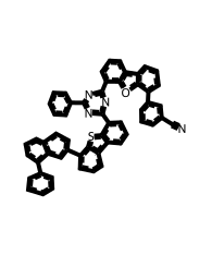 N#Cc1cccc(-c2cccc3c2oc2c(-c4nc(-c5ccccc5)nc(-c5cccc6c5sc5c(-c7ccc8cccc(-c9ccccc9)c8c7)cccc56)n4)cccc23)c1